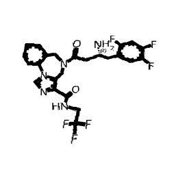 N[C@@H](CC(=O)N1Cc2ccccc2-n2cnc(C(=O)NCC(F)(F)F)c2C1)Cc1cc(F)c(F)cc1F